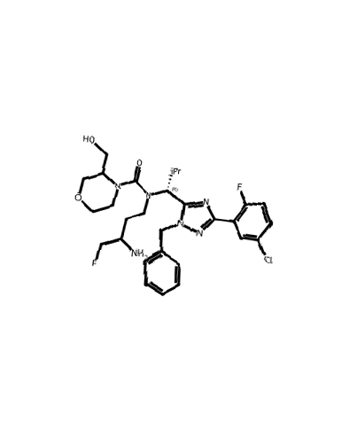 CC(C)[C@H](c1nc(-c2cc(Cl)ccc2F)nn1Cc1ccccc1)N(CCC(N)CF)C(=O)N1CCOCC1CO